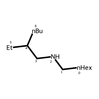 CCCCCCCNCC(CC)CCCC